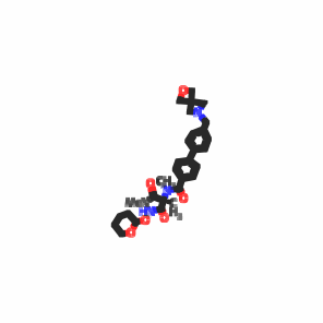 CNC(=O)[C@@](C)(C(=O)NOC1CCCCO1)N(C)C(=O)c1ccc(-c2ccc(CN3CC4(COC4)C3)cc2)cc1